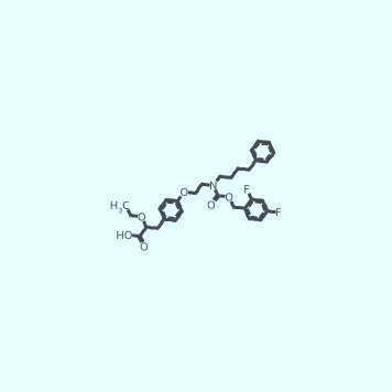 CCOC(Cc1ccc(OCCN(CCCCc2ccccc2)C(=O)OCc2ccc(F)cc2F)cc1)C(=O)O